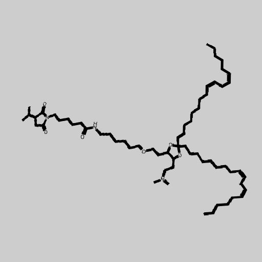 CCCCC/C=C\C/C=C\CCCCCCCCC1(CCCCCCCC/C=C\C/C=C\CCCCC)OC(CCOCCCCCCNC(=O)CCCCCN2C(=O)CC(C(C)C)C2=O)C(CCN(C)C)O1